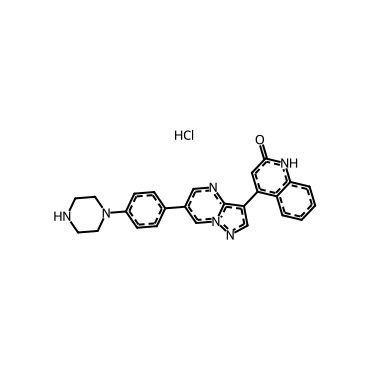 Cl.O=c1cc(-c2cnn3cc(-c4ccc(N5CCNCC5)cc4)cnc23)c2ccccc2[nH]1